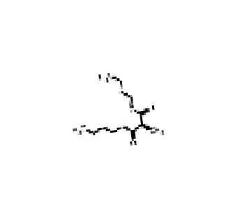 C=C(C(=O)OCCCC)C(=O)OCCCC